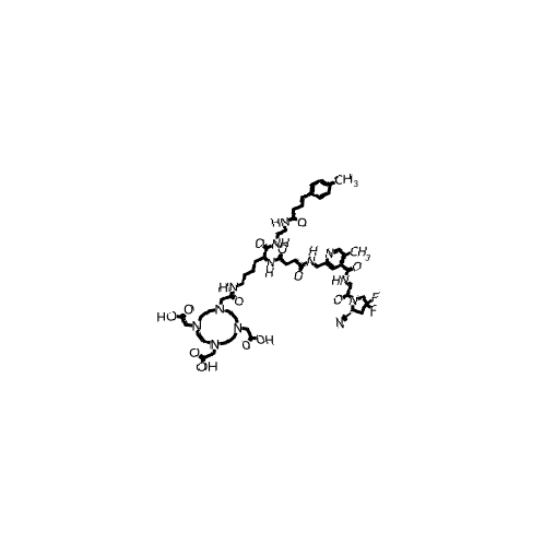 Cc1ccc(CCCC(=O)NCCNC(=O)C(CCCCNC(=O)CN2CCN(CC(=O)O)CCN(CC(=O)O)CCN(CC(=O)O)CC2)NC(=O)CCC(=O)NCc2cc(C(=O)NCC(=O)N3CC(F)(F)C[C@H]3C#N)c(C)cn2)cc1